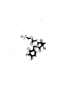 CCOC(=O)C[C@@H]1[C@@H]2C[C@@H]2C(=O)N1Cc1ccc(F)c(F)c1F